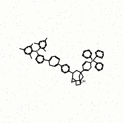 Cc1cc(C)c(B(c2cccc(C3=CC=CC(c4ccc(C5CC6(C7=CCC([Si](c8ccccc8)(c8ccccc8)c8ccccc8)C=C7)CC7CC8(CC58)[C@H]7C6)cc4)=CC3)c2)c2c(C)cc(C)cc2C)c(C)c1